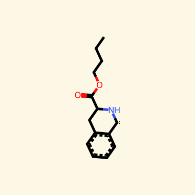 CCCCOC(=O)C1Cc2ccccc2[C]N1